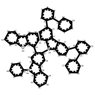 c1ccc(-c2ccccc2-c2ccc3c(c2)c2cc(-c4ccccc4-c4ccccc4)ccc2n3-c2cc3c4ccccc4n(-c4ccccc4)c3cc2-c2cccc3c2oc2ccccc23)cc1